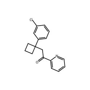 O=C(CC1(c2cccc(Cl)c2)CCC1)c1ccccn1